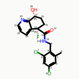 Cc1cc(Cl)cc(Cl)c1CNC(=O)[C@]1(F)CC[C@@H](O)c2ncccc21